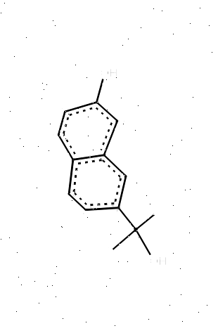 CC(C)(O)c1ccc2ccc(O)cc2c1